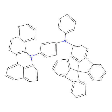 c1ccc(N(c2ccc(N3c4c(ccc5ccccc45)-c4cccc5cccc3c45)cc2)c2ccc3c(c2)C2(c4ccccc4-c4ccccc42)c2ccccc2-3)cc1